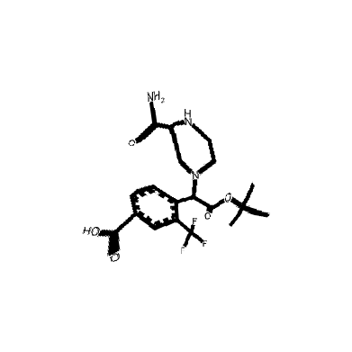 CC(C)(C)OC(=O)C(c1ccc(C(=O)O)cc1C(F)(F)F)N1CCNC(C(N)=O)C1